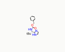 CC(C)(C)[C@H](NC(=O)OCc1ccccc1)c1ncc[nH]1